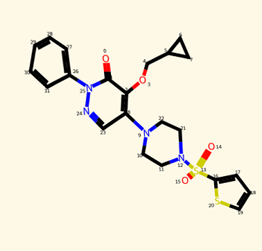 O=c1c(OCC2CC2)c(N2CCN(S(=O)(=O)c3cccs3)CC2)cnn1-c1ccccc1